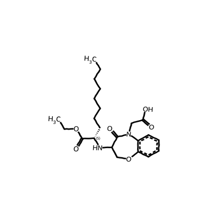 CCCCCCCC[C@H](NC1COc2ccccc2N(CC(=O)O)C1=O)C(=O)OCC